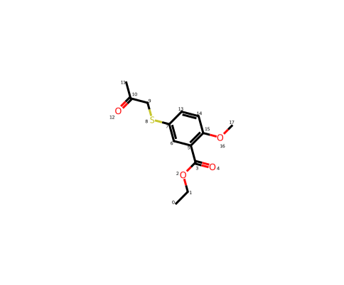 CCOC(=O)c1cc(SCC(C)=O)ccc1OC